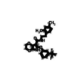 Cc1ccc(CCNC(=O)c2c(Oc3cccc(C(F)(F)F)c3)[nH]c3c2OCCO3)c(C)c1